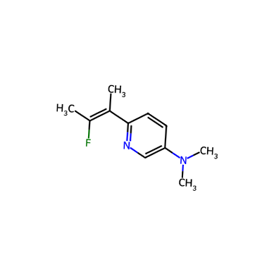 C/C(F)=C(\C)c1ccc(N(C)C)cn1